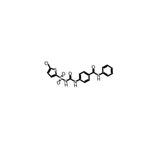 O=C(Nc1ccc(C(=O)Nc2ccccc2)cc1)NS(=O)(=O)c1ccc(Cl)s1